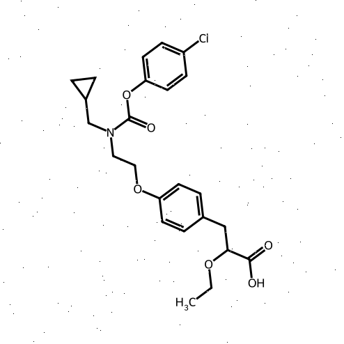 CCOC(Cc1ccc(OCCN(CC2CC2)C(=O)Oc2ccc(Cl)cc2)cc1)C(=O)O